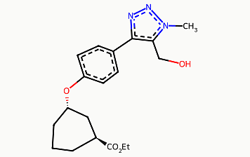 CCOC(=O)[C@H]1CCC[C@H](Oc2ccc(-c3nnn(C)c3CO)cc2)C1